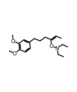 CC=C(CCCc1ccc(OC)c(OC)c1)ON(CC)CC